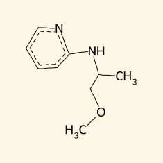 COCC(C)Nc1ccccn1